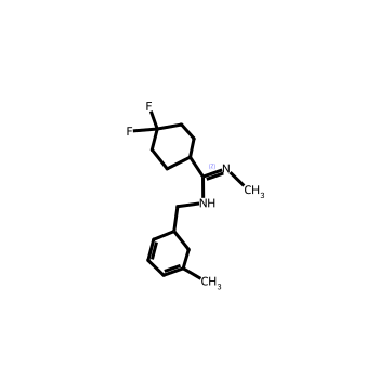 C/N=C(\NCC1C=CC=C(C)C1)C1CCC(F)(F)CC1